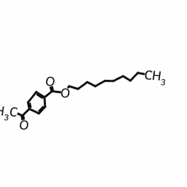 CCCCCCCCCCOC(=O)c1ccc(C(C)=O)cc1